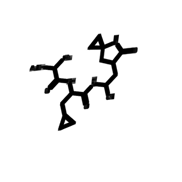 CC(=O)NC(C(=O)NC(CC1CC1)C(=O)NC(C#N)CC1CC2(CC2)NC1=O)C(C)(C)C